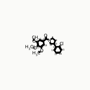 COc1cc(C(=O)N2CCC(c3ccccc3Cl)C2)cc(OC)c1OC